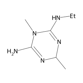 CCNC1=NC(C)N=C(N)N1C